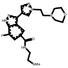 CNCCNC(=O)c1cc(F)c2[nH]nc(-c3cnn(CCN4CCOCC4)c3)c2c1